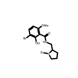 CCN1CCCC1CNC(=O)c1c(OC)ccc(Br)c1O